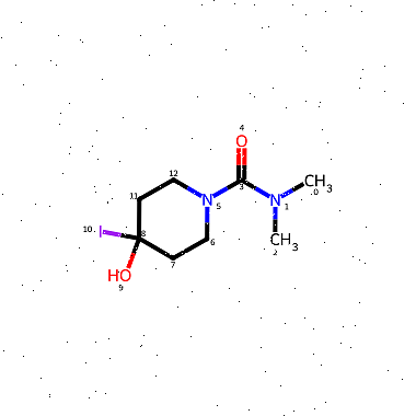 CN(C)C(=O)N1CCC(O)(I)CC1